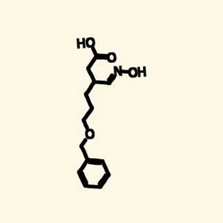 O=C(O)CC(C=NO)CCCOCc1ccccc1